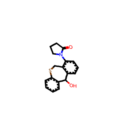 O=C1CCCN1c1cccc2c1CSc1ccccc1C2O